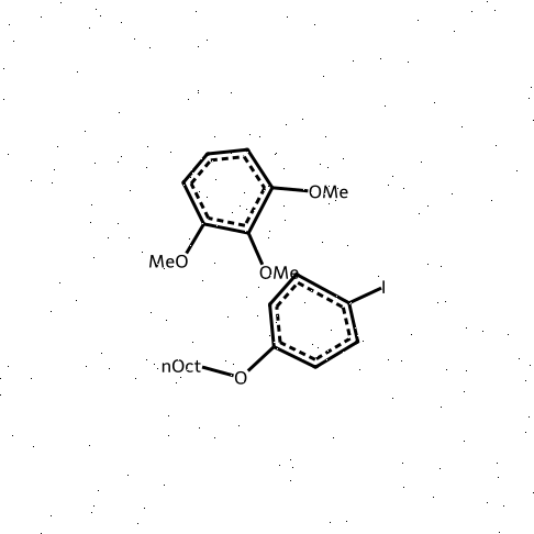 CCCCCCCCOc1ccc(I)cc1.COc1cccc(OC)c1OC